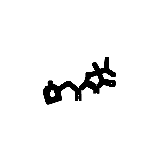 CC(C)C1(C)SC(NCc2cccs2)=NC1=O